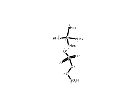 CCCCCC[N+](CCCCCC)(CCCCCC)CCCCCC.O=S(=O)([O-])OOS(=O)(=O)O